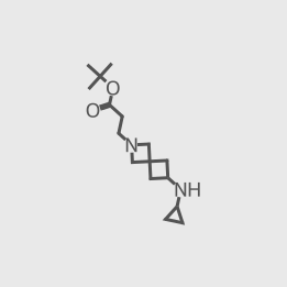 CC(C)(C)OC(=O)CCN1CC2(CC(NC3CC3)C2)C1